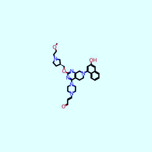 COCCN1CC[C@H](COc2nc3c(c(N4CCN(C=CC=O)CC4)n2)CCN(c2cc(O)cc4ccccc24)C3)C1